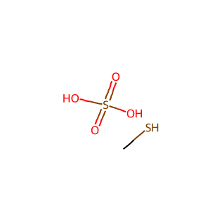 CS.O=S(=O)(O)O